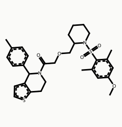 COc1cc(C)c(S(=O)(=O)N2CCCCC2COCC(=O)N2CCc3sccc3C2c2ccc(C)cc2)c(C)c1